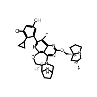 Oc1cc(Cl)c(C2CC2)c(-c2nc3c4c(nc(OC[C@@]56CCCN5C[C@H](F)C6)nc4c2F)N2CC4CCC(N4)[C@H]2CO3)c1